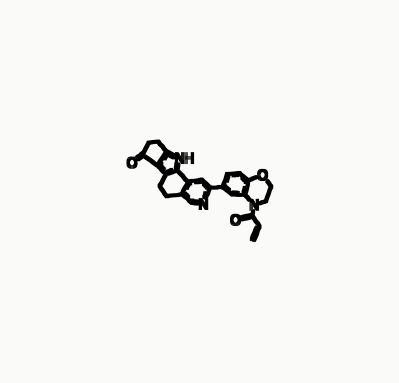 C=CC(=O)N1CCOc2ccc(-c3cc4c(cn3)CCc3c-4[nH]c4c3C(=O)CC4)cc21